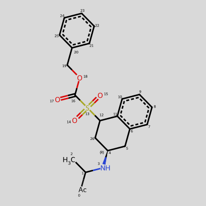 CC(=O)C(C)N[C@@H]1Cc2ccccc2C(S(=O)(=O)C(=O)OCc2ccccc2)C1